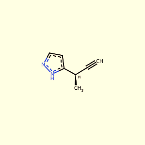 C#C[C@@H](C)c1ccn[nH]1